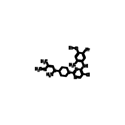 C=N/C(C)=C\N(N)C1CCN(c2ncc(Cl)c(Nc3cc(C(C)C)c(OCC)cc3C)n2)CC1